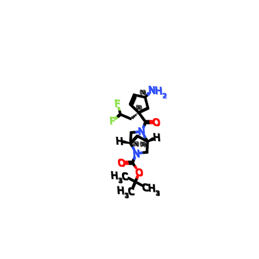 CC(C)(C)OC(=O)N1C[C@@H]2C[C@H]1CN2C(=O)[C@@]1(CC(F)F)C=C[C@@H](N)C1